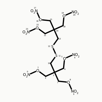 O=[N+]([O-])OCC(CO[N+](=O)[O-])(CO[N+](=O)[O-])CSSCC(CO[N+](=O)[O-])(CO[N+](=O)[O-])CO[N+](=O)[O-]